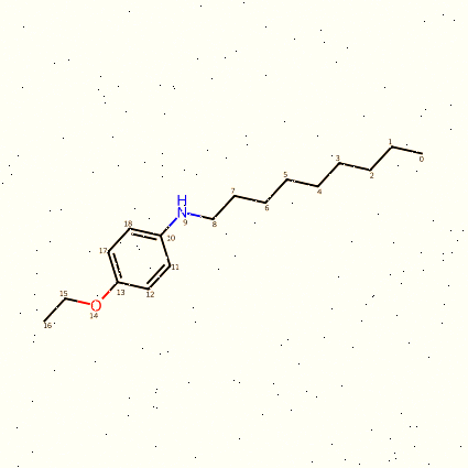 CCCCCCCCCNc1ccc(OCC)cc1